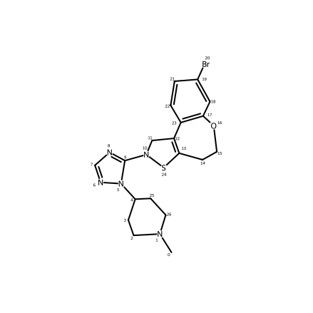 CN1CCC(n2ncnc2N2CC3=C(CCOc4cc(Br)ccc43)S2)CC1